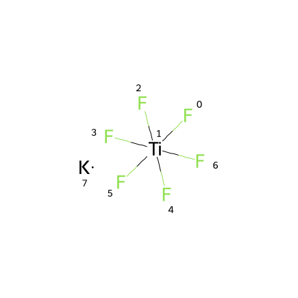 [F][Ti]([F])([F])([F])([F])[F].[K]